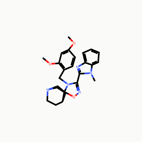 COc1ccc(CN2C(c3nc4ccccc4n3C)=NOC23CN2CCC3CC2)c(OC)c1